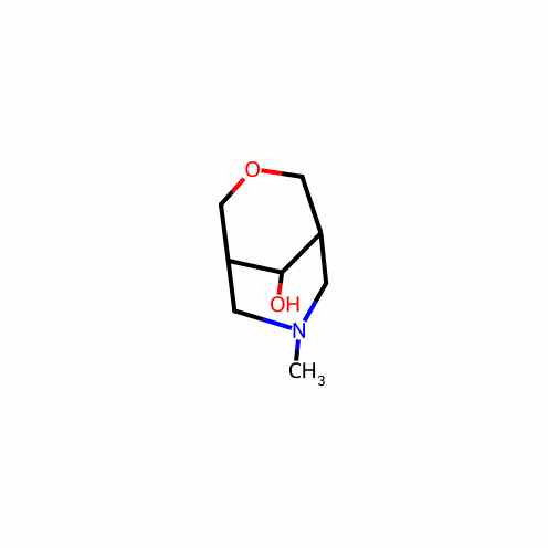 CN1CC2COCC(C1)C2O